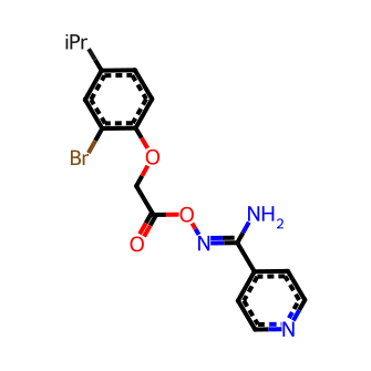 CC(C)c1ccc(OCC(=O)O/N=C(\N)c2ccncc2)c(Br)c1